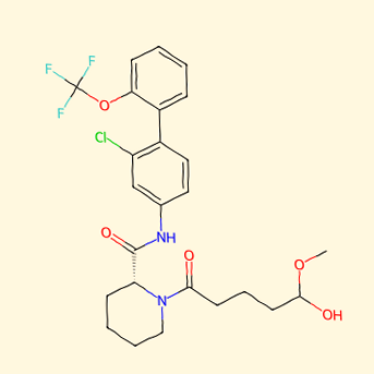 COC(O)CCCC(=O)N1CCCC[C@@H]1C(=O)Nc1ccc(-c2ccccc2OC(F)(F)F)c(Cl)c1